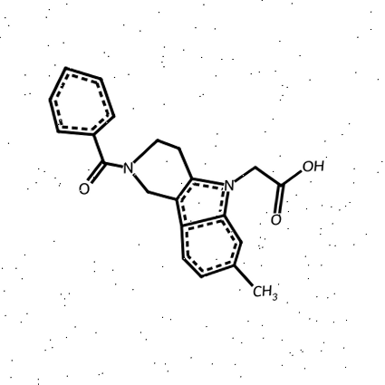 Cc1ccc2c3c(n(CC(=O)O)c2c1)CCN(C(=O)c1ccccc1)C3